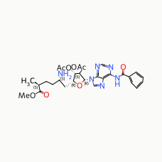 COC(=O)[C@@H](C)CC[C@H](N)C[C@H]1O[C@@H](n2cnc3c(NC(=O)c4ccccc4)ncnc32)C(OC(C)=O)[C@H]1OC(C)=O